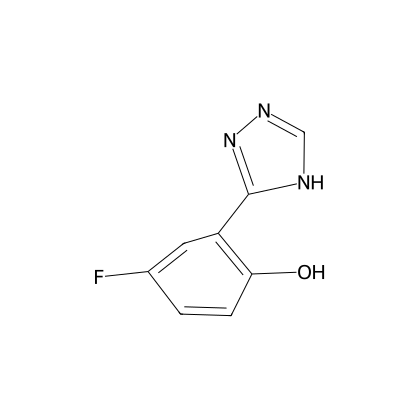 Oc1ccc(F)cc1-c1nnc[nH]1